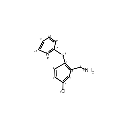 NCc1cc(Cl)ccc1Sc1[c]cccn1